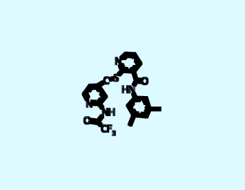 Cc1cc(C)cc(NC(=O)c2cccnc2SCc2ccnc(NC(=O)C(F)(F)F)c2)c1